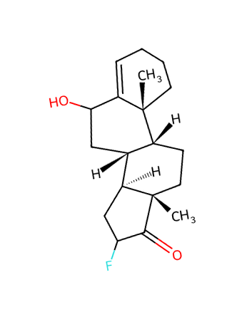 C[C@]12CCCC=C1C(O)C[C@@H]1[C@H]2CC[C@]2(C)C(=O)C(F)C[C@@H]12